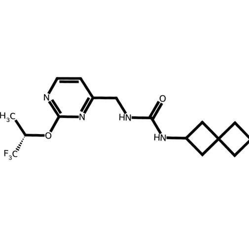 C[C@H](Oc1nccc(CNC(=O)NC2CC3(CCC3)C2)n1)C(F)(F)F